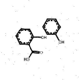 O=C(O)c1ccccc1O.Oc1ccccc1